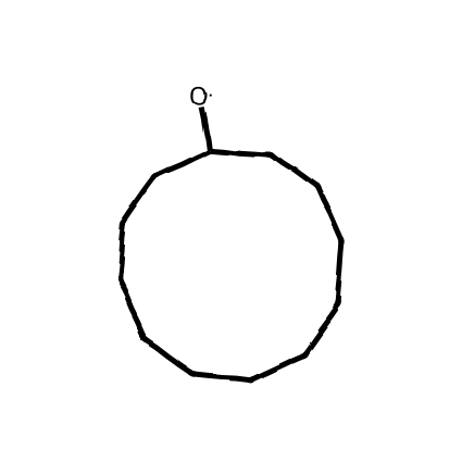 [O]C1CCCCCCCCCCC1